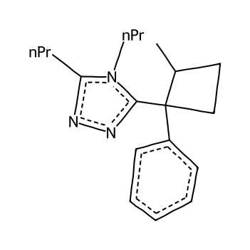 CCCc1nnc(C2(c3ccccc3)CCC2C)n1CCC